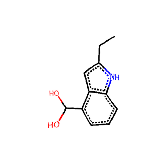 CCc1cc2c(C(O)O)cccc2[nH]1